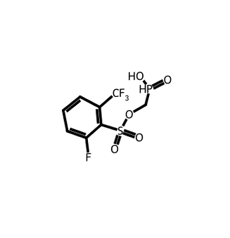 O=[PH](O)COS(=O)(=O)c1c(F)cccc1C(F)(F)F